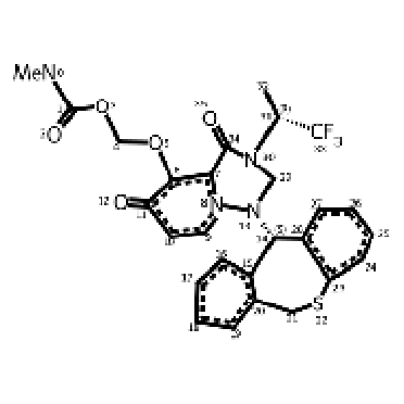 CNC(=O)OCOc1c2n(ccc1=O)N([C@H]1c3ccccc3CSc3ccccc31)CN([C@H](C)C(F)(F)F)C2=O